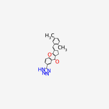 Cc1ccc(C)c(C=C2CCc3c2oc2ccc(-c4nnn[nH]4)cc2c3=O)c1